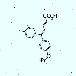 Cc1ccc(/C(=C\C=C\C(=O)O)c2ccc(OC(C)C)cc2)cc1